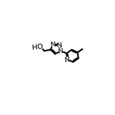 Cc1ccnc(-n2cc(CO)nn2)c1